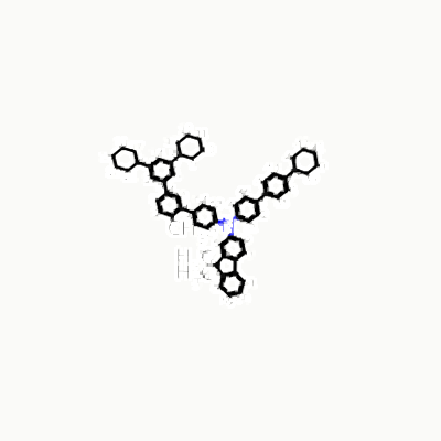 Cc1ccc(-c2cc(C3CCCCC3)cc(C3CCCCC3)c2)cc1-c1ccc(N(c2ccc(-c3ccc(C4CCCCC4)cc3)cc2)c2ccc3c(c2)C(C)(C)c2ccccc2-3)cc1